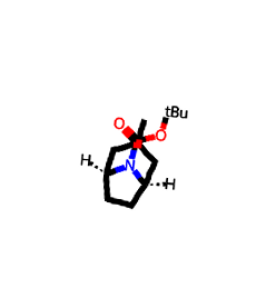 CC1C[C@H]2CC[C@@H](C1)N2C(=O)OC(C)(C)C